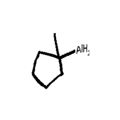 C[C]1([AlH2])CCCC1